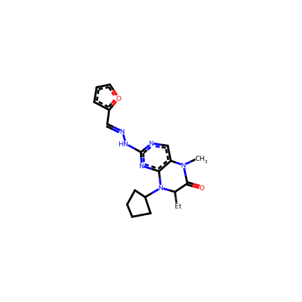 CCC1C(=O)N(C)c2cnc(NN=Cc3ccco3)nc2N1C1CCCC1